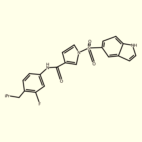 CC(C)Cc1ccc(NC(=O)c2ccn(S(=O)(=O)c3ccc4[nH]ccc4c3)c2)cc1F